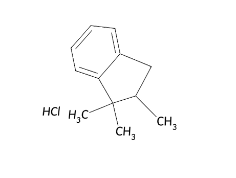 CC1Cc2ccccc2C1(C)C.Cl